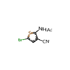 CC(=O)Nc1sc(Br)cc1C#N